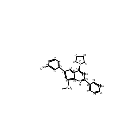 COc1cc(-c2cccc(F)c2)cc2c(N3CCCC3)nc(-c3cccnc3)nc12